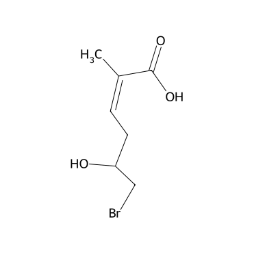 CC(=CCC(O)CBr)C(=O)O